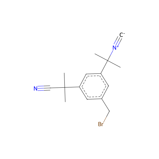 [C-]#[N+]C(C)(C)c1cc(CBr)cc(C(C)(C)C#N)c1